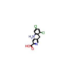 Nc1cc(Cl)cc(Cl)c1Cc1ccc(C(=O)O)nc1